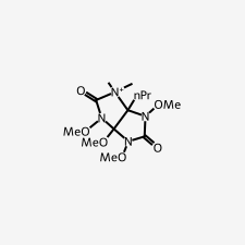 CCCC12N(OC)C(=O)N(OC)C1(OC)N(OC)C(=O)[N+]2(C)C